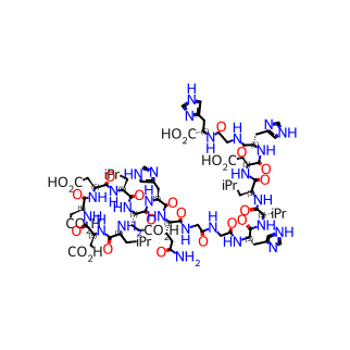 CC(C)C[C@H](NC(=O)[C@H](CC(=O)O)NC(=O)[C@H](CC(=O)O)NC(=O)[C@H](CC(=O)O)NC(=O)[C@@H](N)CC(C)C)C(=O)N[C@@H](CCC(=O)O)C(=O)N[C@@H](Cc1c[nH]cn1)C(=O)N[C@@H](CCC(N)=O)C(=O)NCC(=O)NCC(=O)N[C@@H](Cc1c[nH]cn1)C(=O)N[C@H](C(=O)N[C@@H](CC(C)C)C(=O)N[C@@H](CC(=O)O)C(=O)N[C@@H](Cc1c[nH]cn1)C(=O)NCC(=O)N[C@@H](Cc1c[nH]cn1)C(=O)O)C(C)C